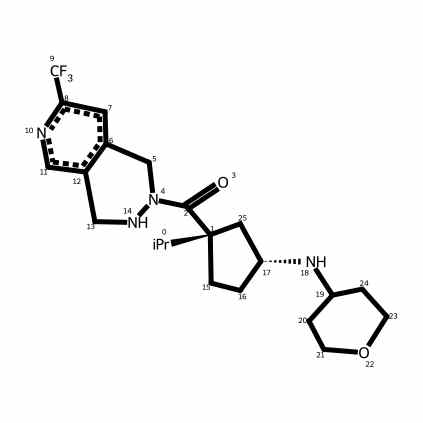 CC(C)[C@]1(C(=O)N2Cc3cc(C(F)(F)F)ncc3CN2)CC[C@@H](NC2CCOCC2)C1